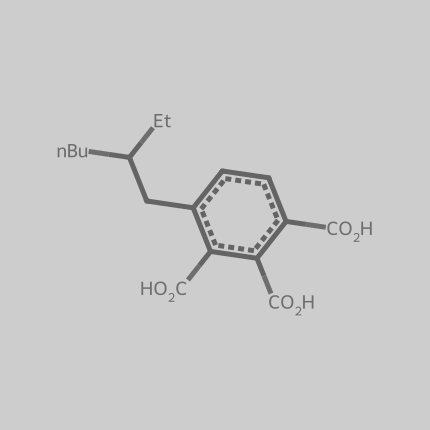 CCCCC(CC)Cc1ccc(C(=O)O)c(C(=O)O)c1C(=O)O